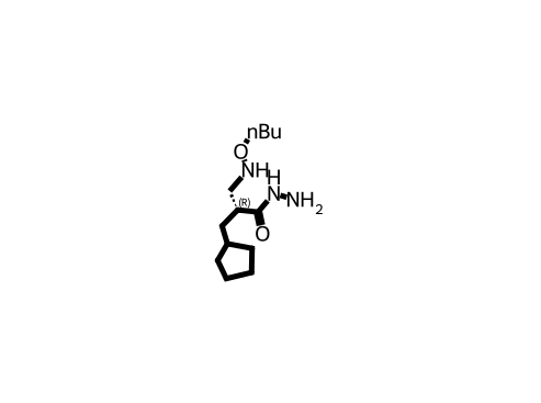 CCCCONC[C@@H](CC1CCCC1)C(=O)NN